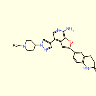 CC(=O)N1CCC(n2cc(-c3cnc(N)c4oc(-c5ccc6c(c5)CCC(=O)N6)cc34)cn2)CC1